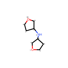 C1CC(NC2CCOC2)CO1